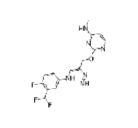 CNc1ccnc(OC/C(=C/Nc2ccc(F)c(C(F)F)c2)N=N)n1